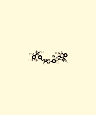 CCCc1cc(-c2nnc(O)n2-c2ccc(CNC(=O)C3CCN(c4ccc(Nc5ncc6c(n5)N(S(C)(=O)=O)c5ccccc5C(=O)N6C)c(OCC)c4)CC3)cc2)c(O)cc1O